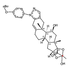 CCCCOc1ccc(-n2ncc3c2C=C2CC[C@@H]4[C@H]([C@@H](O)C[C@@]5(C)[C@H]4C[C@H]4OC(C)O[C@]45C(=O)CO)[C@@]2(C)C3)cc1